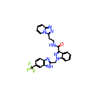 O=C(NCCc1nnc2ccccn12)c1nn(Cc2nc3ccc(C(F)(F)F)cc3[nH]2)c2ccccc12